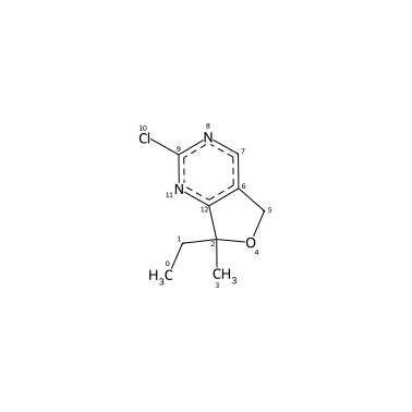 CCC1(C)OCc2cnc(Cl)nc21